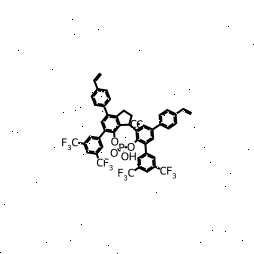 C=Cc1ccc(-c2cc(-c3cc(C(F)(F)F)cc(C(F)(F)F)c3)c3c4c2CCC42CCc4c(-c5ccc(C=C)cc5)cc(-c5cc(C(F)(F)F)cc(C(F)(F)F)c5)c(c42)OP(=O)(O)O3)cc1